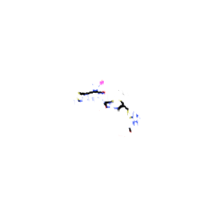 N=c1[nH]c(/C(=N/O)C(=O)NC2C(=O)N3C(C(=O)[O-])=C(CSc4nnnn4CCO)CS[C@H]23)cs1.[Na+]